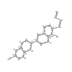 C=C/C=C\c1ccc2cc(-c3ccc4cc(I)ccc4c3)ccc2c1C